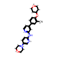 N#Cc1cc(-c2ccnc(Nc3ccc(N4CCOCC4)cn3)c2)ccc1OC1CCOCC1